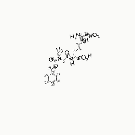 CN(CC(=O)N[C@@H](CCCN/C(N)=N\[N+](=O)[O-])C(=O)O)C(=O)OCc1ccccc1